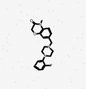 CN1C(=O)COc2cc(CN3CCN(c4ccccc4F)CC3)ccc21